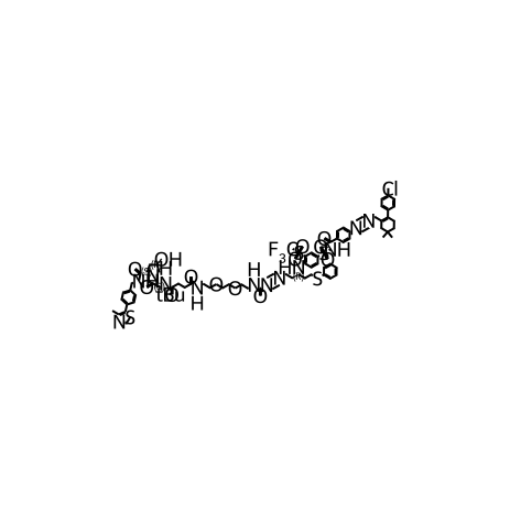 Cc1ncsc1-c1ccc(CNC(=O)[C@@H]2C[C@@H](O)CN2C(=O)[C@@H](NC(=O)CCC(=O)NCCOCCOCCNC(=O)N2CCN(CC[C@H](CCSc3ccccc3)Nc3ccc(S(=O)(=O)NC(=O)c4ccc(N5CCN(CC6=C(c7ccc(Cl)cc7)CCC(C)(C)C6)CC5)cc4)cc3S(=O)(=O)C(F)(F)F)CC2)C(C)(C)C)cc1